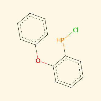 ClPc1ccccc1Oc1ccccc1